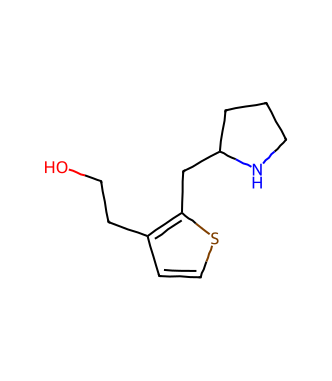 OCCc1ccsc1CC1CCCN1